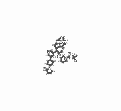 CC(C)S(C(C)C)(C(C)C)n1ccc2c(-c3cncc(-c4ccc(N5CCCC5=O)cc4)c3)c(OC3CCCN(C(=O)OC(C)(C)C)C3)cnc21